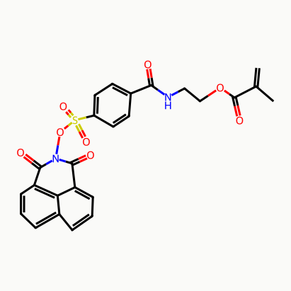 C=C(C)C(=O)OCCNC(=O)c1ccc(S(=O)(=O)ON2C(=O)c3cccc4cccc(c34)C2=O)cc1